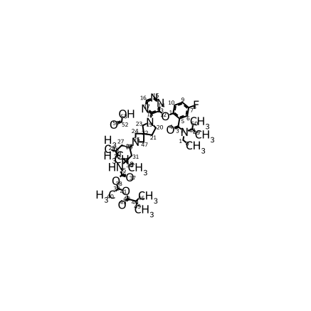 CCN(C(=O)c1cc(F)ccc1Oc1nncnc1N1CCC2(C1)CN([C@H](CC(C)C)CC(C)(C)NC(=O)OC(C)OC(=O)C(C)C)C2)C(C)C.O=CO